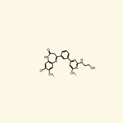 Cc1cc(-c2cccc(C3=Nc4cc(C)c(Cl)cc4NC(=O)C3)c2)nc(NCCO)n1